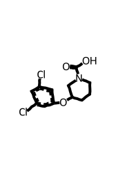 O=C(O)N1CCCC(Oc2cc(Cl)cc(Cl)c2)C1